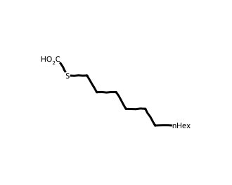 CCCCCCCCCCCCSC(=O)O